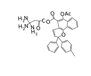 CC(=O)Oc1c(C(=O)OCC(=O)CC(N)(N)N)c2c(c3ccccc13)OC(c1ccccc1)(c1ccc(C)cc1)C=C2